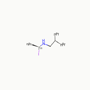 CCCC(CCC)CN[C@@H](I)CCC